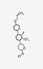 C=CCOc1ccc(-c2ccc(C3CCC(OCC)OC3)c(C(F)(F)F)c2F)cc1